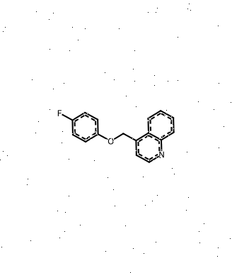 Fc1ccc(OCc2ccnc3ccccc23)cc1